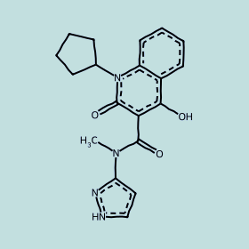 CN(C(=O)c1c(O)c2ccccc2n(C2CCCC2)c1=O)c1cc[nH]n1